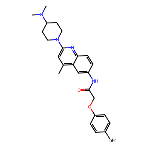 CCCc1ccc(OCC(=O)Nc2ccc3nc(N4CCC(N(C)C)CC4)cc(C)c3c2)cc1